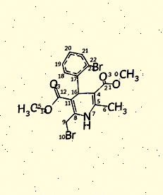 COC(=O)C1=C(C)NC(CBr)=C(C(=O)OC)C1c1ccccc1Br